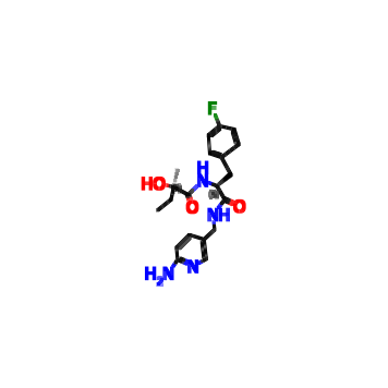 CC[C@@](C)(O)C(=O)N[C@@H](Cc1ccc(F)cc1)C(=O)NCc1ccc(N)nc1